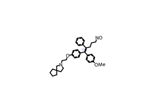 COc1ccc(/C(=C(\CCCN=O)c2ccccc2)c2ccc(OCCN3CCC4(CCCC4)C3)cc2)cc1